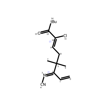 C=C/C(=N\C#N)C(C)(C)C/C=C(\Cl)C(=O)C(C)(C)C